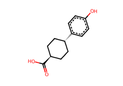 O=C(O)[C@H]1CC[C@H](c2ccc(O)cc2)CC1